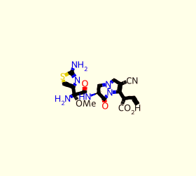 C=CC(C(=O)O)C1=C(C#N)CN2C[C@H](NC(=O)C(N)(OC)c3csc(N)n3)C(=O)N12